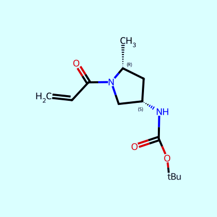 C=CC(=O)N1C[C@@H](NC(=O)OC(C)(C)C)C[C@H]1C